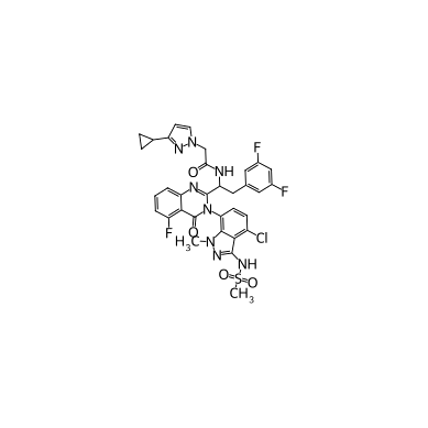 Cn1nc(NS(C)(=O)=O)c2c(Cl)ccc(-n3c(C(Cc4cc(F)cc(F)c4)NC(=O)Cn4ccc(C5CC5)n4)nc4cccc(F)c4c3=O)c21